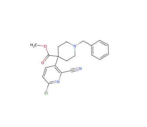 COC(=O)C1(c2ccc(Cl)nc2C#N)CCN(Cc2ccccc2)CC1